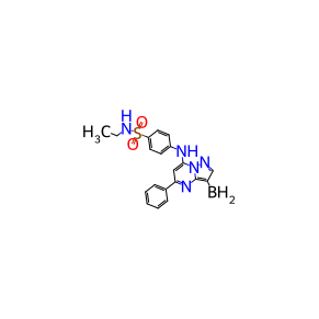 Bc1cnn2c(Nc3ccc(S(=O)(=O)NCC)cc3)cc(-c3ccccc3)nc12